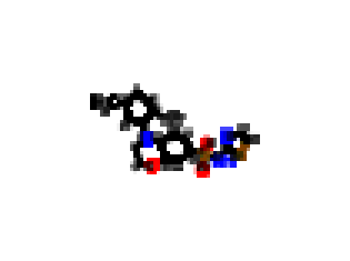 Cc1ccc(C(C)C)c(N2CCOc3cc(S(=O)(=O)Nc4nccs4)ccc32)c1